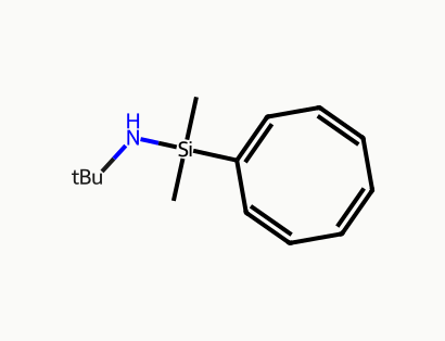 CC(C)(C)N[Si](C)(C)C1=C/C=C\C=C/C=C\1